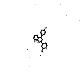 O/N=C(\CC(c1ccccc1)c1ccc(Br)cc1)c1ccnc(CI)c1